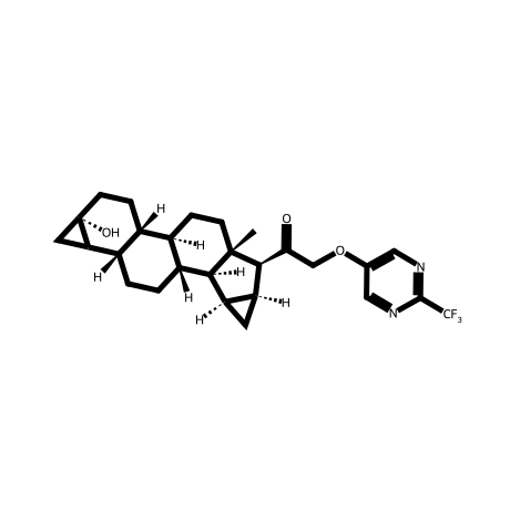 C[C@]12CC[C@H]3[C@@H](CC[C@@H]4C5C[C@@]5(O)CC[C@H]34)[C@@H]1[C@@H]1C[C@@H]1[C@@H]2C(=O)COc1cnc(C(F)(F)F)nc1